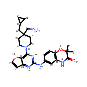 CC1(C)Oc2ccc(Nc3nc(N4CCC(CN)(CC5CC5)CC4)c4occc4n3)cc2NC1=O